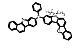 C[Si]1(C)c2cc(N(c3ccccc3)c3ccc4c(c3)sc3c5ccccc5ccc43)ccc2-c2c1ccc1c2oc2ccccc21